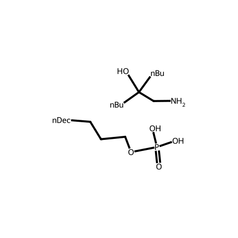 CCCCC(O)(CN)CCCC.CCCCCCCCCCCCCOP(=O)(O)O